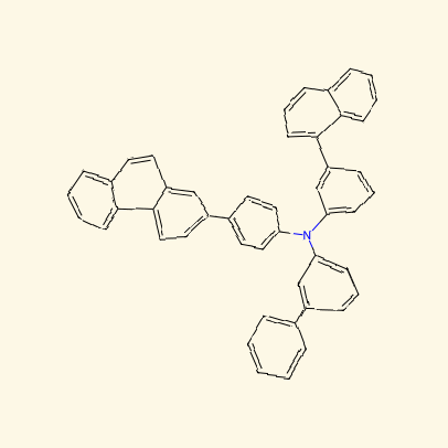 c1ccc(-c2cccc(N(c3ccc(-c4ccc5c(ccc6ccccc65)c4)cc3)c3cccc(-c4cccc5ccccc45)c3)c2)cc1